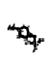 CC(=O)N1CCN(C[B-](F)(F)F)CC1